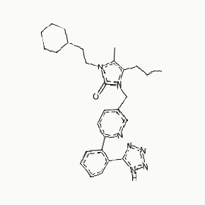 CCCc1c(C)n(CCC2CCCCC2)c(=O)n1Cc1ccc(-c2ccccc2-c2nnn[nH]2)nc1